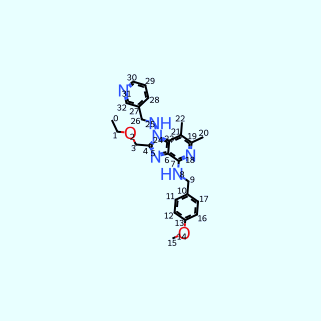 CCOCc1nc2c(NCc3ccc(OC)cc3)nc(C)c(C)c2n1NCc1cccnc1